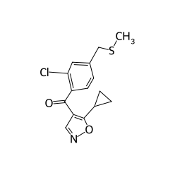 CSCc1ccc(C(=O)c2cnoc2C2CC2)c(Cl)c1